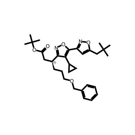 CC(C)(C)Cc1cc(-c2onc([C@@H](CCCOCc3ccccc3)CC(=O)OC(C)(C)C)c2C2CC2)no1